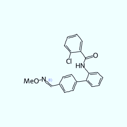 CO/N=C/c1ccc(-c2ccccc2NC(=O)c2ccccc2Cl)cc1